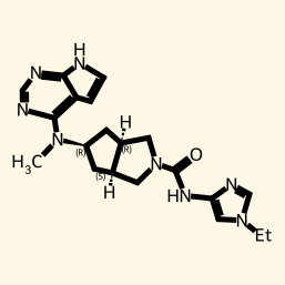 CCn1cnc(NC(=O)N2C[C@H]3C[C@@H](N(C)c4ncnc5[nH]ccc45)C[C@H]3C2)c1